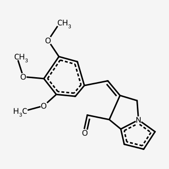 COc1cc(/C=C2/Cn3cccc3C2C=O)cc(OC)c1OC